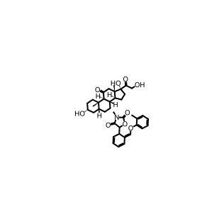 C[C@]12CC[C@@H](O)C[C@H]1CC[C@@H]1[C@@H]2C(=O)C[C@@]2(C)[C@H]1CC[C@]2(O)C(=O)CO.Cc1ccccc1O/C=C1/C=CC=CC1C1OC(=O)N(C)C1=O